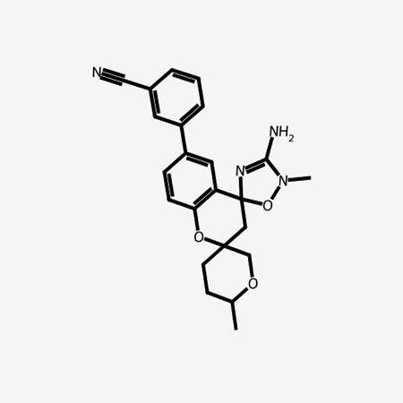 CC1CCC2(CO1)CC1(N=C(N)N(C)O1)c1cc(-c3cccc(C#N)c3)ccc1O2